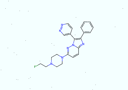 FCCN1CCN(c2ccc3nc(-c4ccccc4)c(-c4ccnnc4)n3n2)CC1